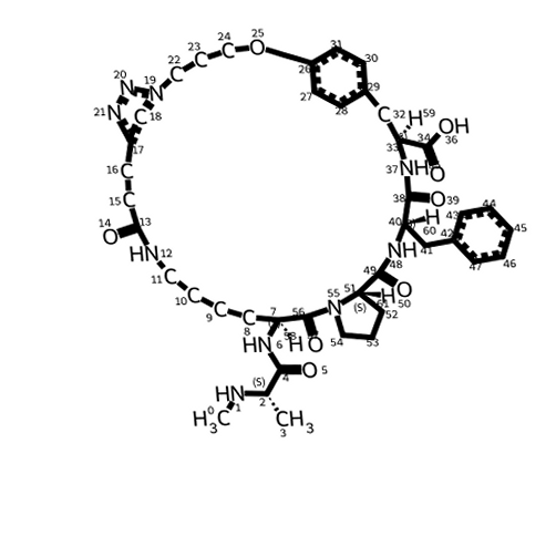 CN[C@@H](C)C(=O)N[C@H]1CCCCNC(=O)CCc2cn(nn2)CCCOc2ccc(cc2)C[C@@H](C(=O)O)NC(=O)[C@H](Cc2ccccc2)NC(=O)[C@@H]2CCCN2C1=O